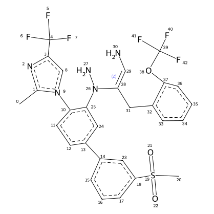 Cc1nc(C(F)(F)F)cn1-c1ccc(-c2cccc(S(C)(=O)=O)c2)cc1N(N)/C(=C\N)Cc1ccccc1OC(F)(F)F